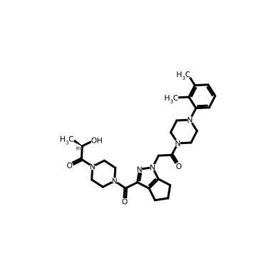 Cc1cccc(N2CCN(C(=O)Cn3nc(C(=O)N4CCN(C(=O)[C@@H](C)O)CC4)c4c3CCC4)CC2)c1C